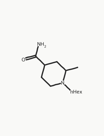 CCCCCCN1CCC(C(N)=O)CC1C